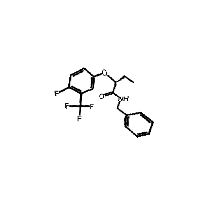 CC[C@H](Oc1ccc(F)c(C(F)(F)F)c1)C(=O)NCc1ccccc1